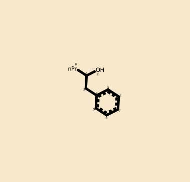 CCC[C](O)Cc1ccccc1